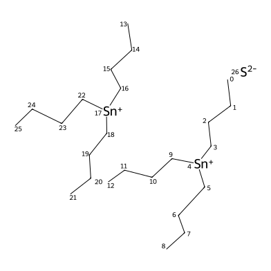 CCC[CH2][Sn+]([CH2]CCC)[CH2]CCC.CCC[CH2][Sn+]([CH2]CCC)[CH2]CCC.[S-2]